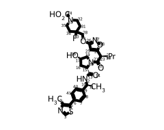 Cc1ncsc1-c1ccc([C@H](C)NC(=O)[C@@H]2C[C@@H](O)CN2C(=O)[C@@H](c2cc(OCC3(F)CCN(C(=O)O)CC3)no2)C(C)C)cc1